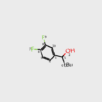 CC(C)(C)C(O)c1ccc(F)c(F)c1